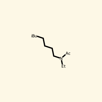 CCC(C)CCCCN(CC)C(C)=O